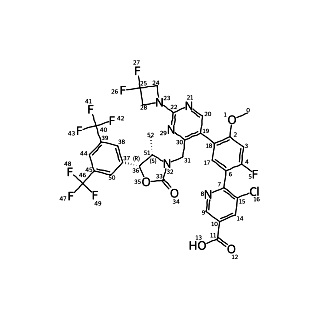 COc1cc(F)c(-c2ncc(C(=O)O)cc2Cl)cc1-c1cnc(N2CC(F)(F)C2)nc1CN1C(=O)O[C@H](c2cc(C(F)(F)F)cc(C(F)(F)F)c2)[C@@H]1C